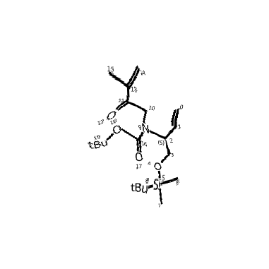 C=C[C@@H](CO[Si](C)(C)C(C)(C)C)N(CC(=O)C(=C)C)C(=O)OC(C)(C)C